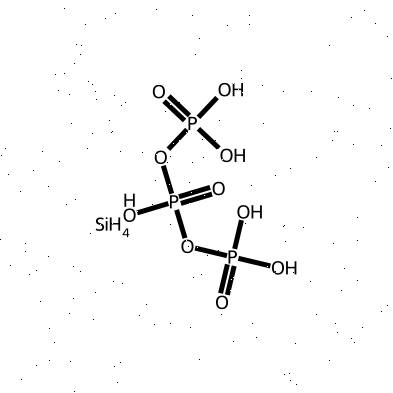 O=P(O)(O)OP(=O)(O)OP(=O)(O)O.[SiH4]